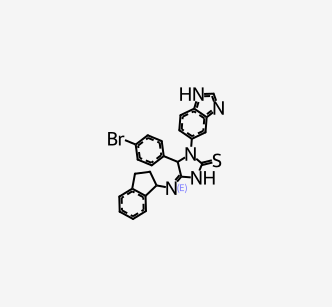 S=C1N/C(=N/C2CCc3ccccc32)C(c2ccc(Br)cc2)N1c1ccc2[nH]cnc2c1